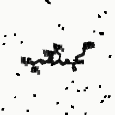 C=C(C)CCOCC(COC(=O)NCCOC)CP(C)O